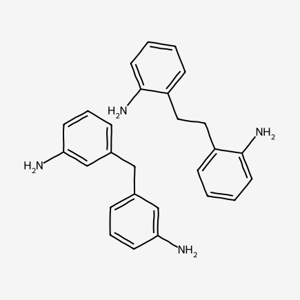 Nc1cccc(Cc2cccc(N)c2)c1.Nc1ccccc1CCc1ccccc1N